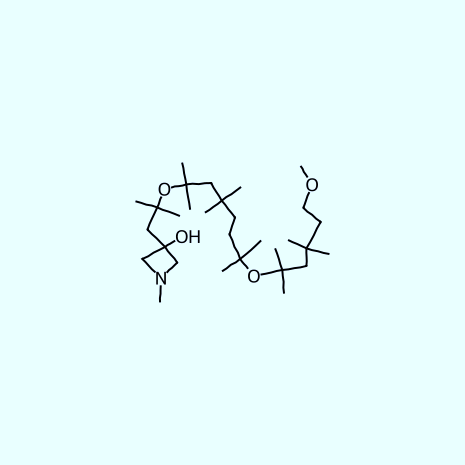 COCCC(C)(C)CC(C)(C)OC(C)(C)CCC(C)(C)CC(C)(C)OC(C)(C)CC1(O)CN(C)C1